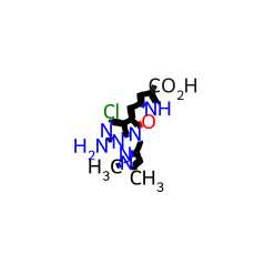 Cc1cc(CN2C(=O)C(=Cc3cc(C(=O)O)c[nH]3)c3c(Cl)nc(N)nc32)nn1C